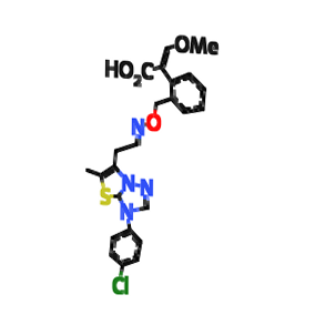 CO/C=C(/C(=O)O)c1ccccc1CON=CCC1=C(C)SC2N1N=CN2c1ccc(Cl)cc1